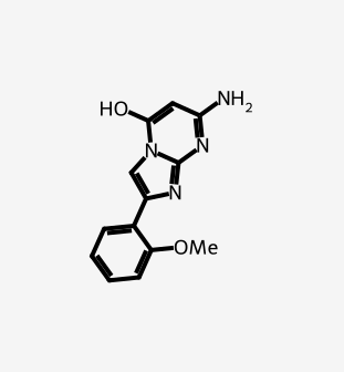 COc1ccccc1-c1cn2c(O)cc(N)nc2n1